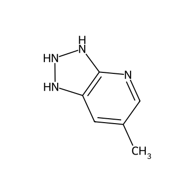 Cc1cnc2c(c1)NNN2